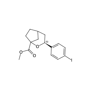 COC(=O)C12CCC(C[C@@H](c3ccc(I)cc3)O1)C2